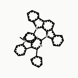 C[Si]1(C)c2ccccc2-c2c(-c3ccccc3)nc(-n3c4ccccc4c4ccc5c6ccccc6n(-c6ccccc6)c5c43)nc21